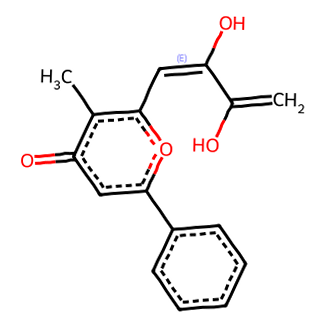 C=C(O)/C(O)=C\c1oc(-c2ccccc2)cc(=O)c1C